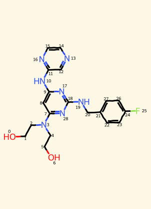 OCCN(CCO)c1cc(Nc2cnccn2)nc(NCc2ccc(F)cc2)n1